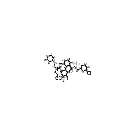 O=C(O)CCN(CCc1ccccc1)C(=O)c1ccccc1-c1ccccc1C(=O)NCc1cccc(Cl)c1